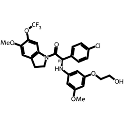 COc1cc(N[C@@H](C(=O)N2CCc3cc(OC)c(OC(F)(F)F)cc32)c2ccc(Cl)cc2)cc(OCCO)c1